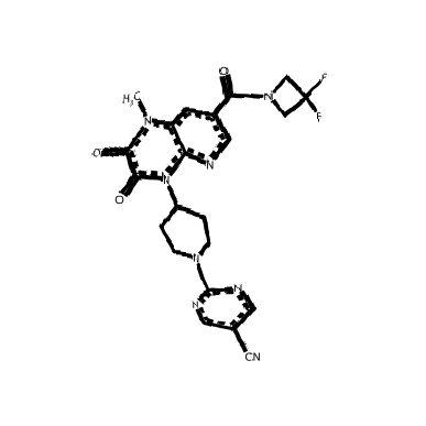 Cn1c(=O)c(=O)n(C2CCN(c3ncc(C#N)cn3)CC2)c2ncc(C(=O)N3CC(F)(F)C3)cc21